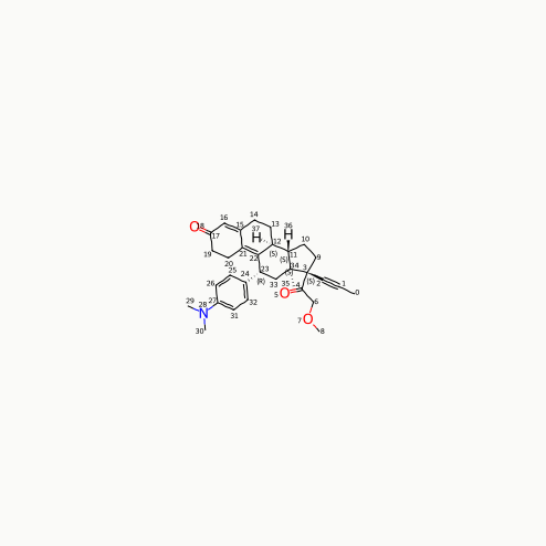 CC#C[C@]1(C(=O)COC)CC[C@H]2[C@@H]3CCC4=CC(=O)CCC4=C3[C@@H](c3ccc(N(C)C)cc3)C[C@@]21C